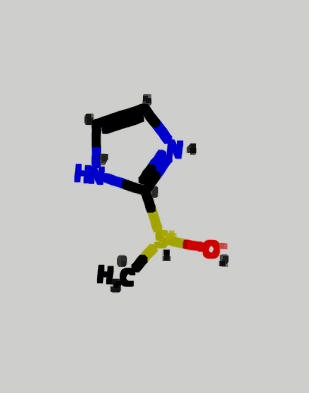 C[S+]([O-])c1nc[c][nH]1